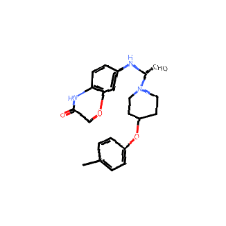 Cc1ccc(OC2CCN(C(C=O)Nc3ccc4c(c3)OCC(=O)N4)CC2)cc1